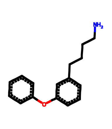 NCCCCc1cccc(Oc2ccccc2)c1